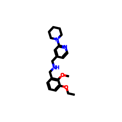 CCOc1cccc(CNCc2ccnc(N3CCCCC3)c2)c1OC